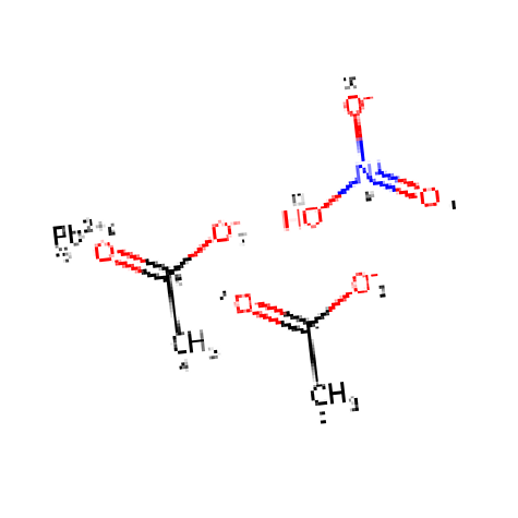 CC(=O)[O-].CC(=O)[O-].O=[N+]([O-])O.[Pb+2]